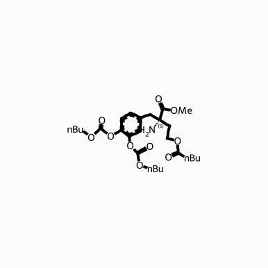 CCCCOC(=O)Oc1ccc(C[C@](N)(CCOC(=O)CCCC)C(=O)OC)cc1OC(=O)OCCCC